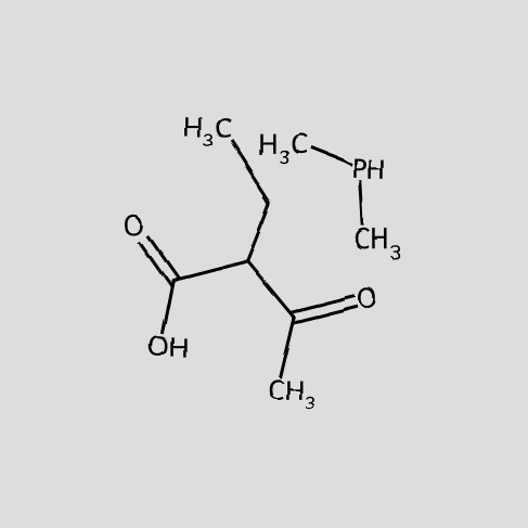 CCC(C(C)=O)C(=O)O.CPC